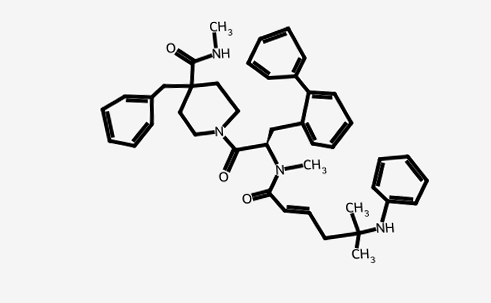 CNC(=O)C1(Cc2ccccc2)CCN(C(=O)[C@@H](Cc2ccccc2-c2ccccc2)N(C)C(=O)/C=C/CC(C)(C)Nc2ccccc2)CC1